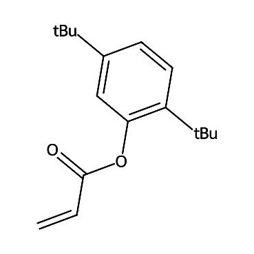 C=CC(=O)Oc1cc(C(C)(C)C)ccc1C(C)(C)C